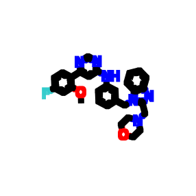 COc1cc(F)ccc1-c1cc(Nc2cccc(Cn3c(CN4CCOCC4)nc4ccccc43)c2)ncn1